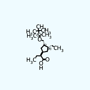 CCC(C(=O)O)=C1C[C@@H](CC)[C@@H](CO[Si](C)(C)C(C)(C)C)C1